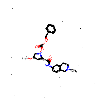 CO[C@@H]1C[C@H](C(=O)Nc2ccc3c(c2)CCN(C)C3)N(OC(=O)OCc2ccccc2)C1